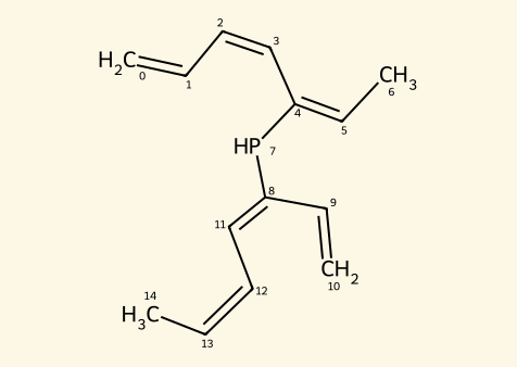 C=C/C=C\C(=C/C)P/C(C=C)=C/C=C\C